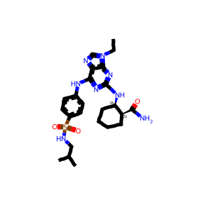 CCn1cnc2c(Nc3ccc(S(=O)(=O)NCC(C)C)cc3)nc(N[C@@H]3CCCC[C@@H]3C(N)=O)nc21